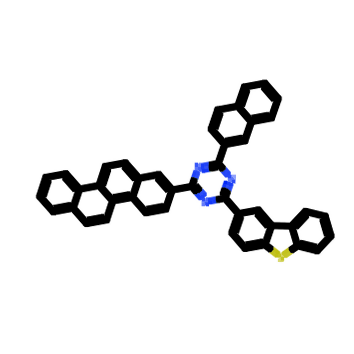 c1ccc2cc(-c3nc(-c4ccc5c(ccc6c7ccccc7ccc56)c4)nc(-c4ccc5sc6ccccc6c5c4)n3)ccc2c1